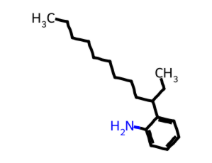 CCCCCCCCCC(CC)c1ccccc1N